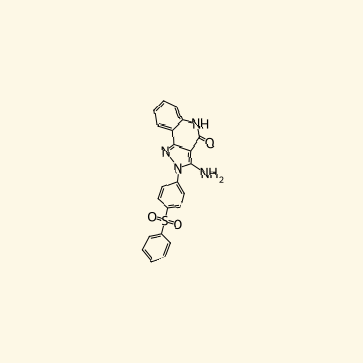 Nc1c2c(=O)[nH]c3ccccc3c2nn1-c1ccc(S(=O)(=O)c2ccccc2)cc1